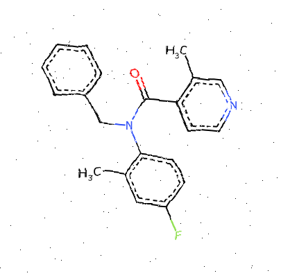 Cc1cnccc1C(=O)N(Cc1ccccc1)c1ccc(F)cc1C